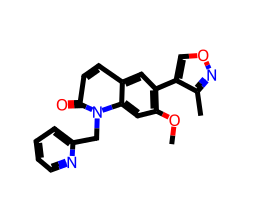 COc1cc2c(ccc(=O)n2Cc2ccccn2)cc1-c1conc1C